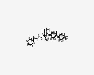 O=C(NCCCCN1CCCCC1)Nc1ccc(-c2ccc(F)nc2)nc1